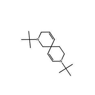 CC(C)(C)N1C=CC2(C=CCN(C(C)(C)C)C2)CC1